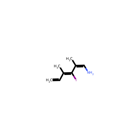 C=C/C(C)=C(I)/C(C)=C\N